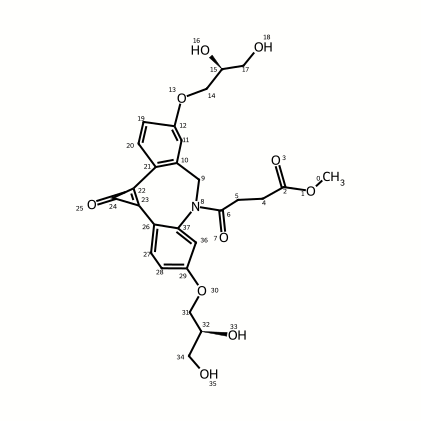 COC(=O)CCC(=O)N1Cc2cc(OC[C@@H](O)CO)ccc2-c2c(c2=O)-c2ccc(OC[C@@H](O)CO)cc21